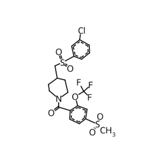 CS(=O)(=O)c1ccc(C(=O)N2CCC(CS(=O)(=O)c3cccc(Cl)c3)CC2)c(OC(F)(F)F)c1